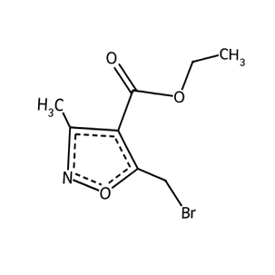 CCOC(=O)c1c(C)noc1CBr